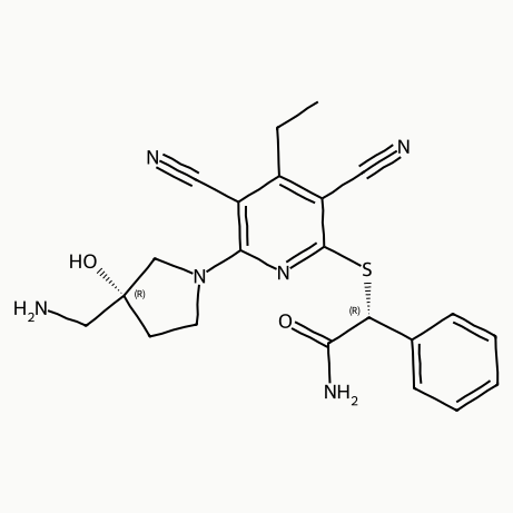 CCc1c(C#N)c(S[C@@H](C(N)=O)c2ccccc2)nc(N2CC[C@@](O)(CN)C2)c1C#N